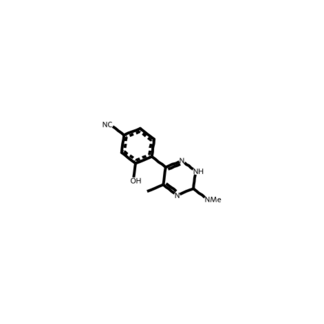 CNC1N=C(C)C(c2ccc(C#N)cc2O)=NN1